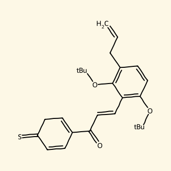 C=CCc1ccc(OC(C)(C)C)c(C=CC(=O)C2=CCC(=S)C=C2)c1OC(C)(C)C